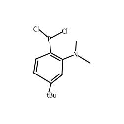 CN(C)c1cc(C(C)(C)C)ccc1P(Cl)Cl